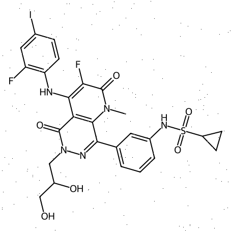 Cn1c(=O)c(F)c(Nc2ccc(I)cc2F)c2c(=O)n(CC(O)CO)nc(-c3cccc(NS(=O)(=O)C4CC4)c3)c21